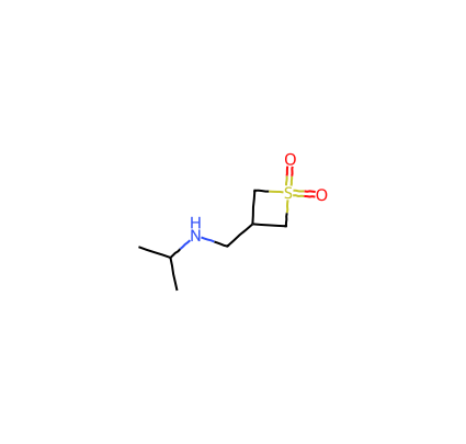 CC(C)NCC1CS(=O)(=O)C1